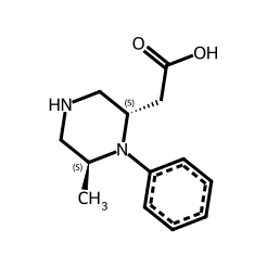 C[C@H]1CNC[C@H](CC(=O)O)N1c1ccccc1